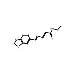 CCNC(=O)/C=C/C=C/c1ccc2c(c1)OCO2